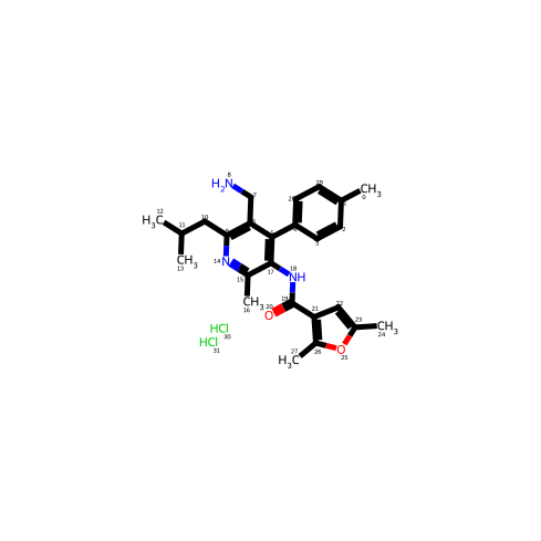 Cc1ccc(-c2c(CN)c(CC(C)C)nc(C)c2NC(=O)c2cc(C)oc2C)cc1.Cl.Cl